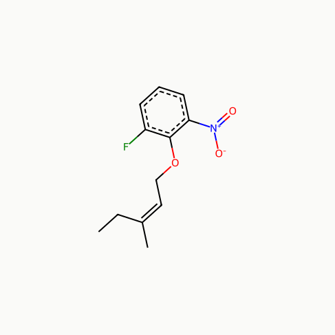 CCC(C)=CCOc1c(F)cccc1[N+](=O)[O-]